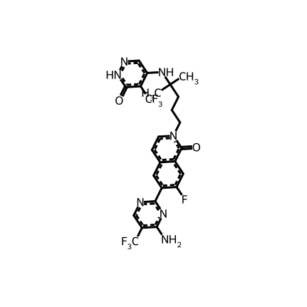 CC(C)(CCCn1ccc2cc(-c3ncc(C(F)(F)F)c(N)n3)c(F)cc2c1=O)Nc1cn[nH]c(=O)c1C(F)(F)F